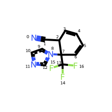 N#CC1C=CC=CC1(n1ccnc1)C(F)(F)F